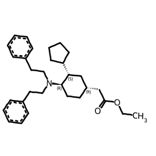 CCOC(=O)C[C@@H]1CC[C@@H](N(CCc2ccccc2)CCc2ccccc2)[C@H](C2CCCC2)C1